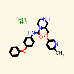 Cc1ccc(OCC2CNCCN2C(=O)Nc2ccc(Oc3ccccc3)cc2)cn1.Cl.Cl